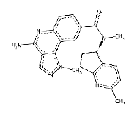 Cc1ccc2c(n1)CC[C@H]2N(C)C(=O)c1ccc2nc(N)c3cnn(C)c3c2c1